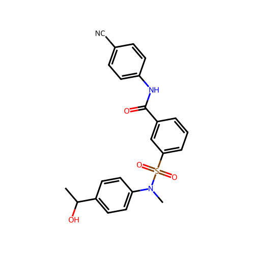 CC(O)c1ccc(N(C)S(=O)(=O)c2cccc(C(=O)Nc3ccc(C#N)cc3)c2)cc1